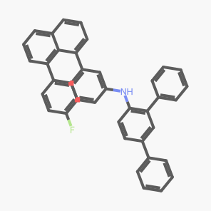 Fc1ccc(-c2cccc3cccc(-c4cccc(Nc5ccc(-c6ccccc6)cc5-c5ccccc5)c4)c23)cc1